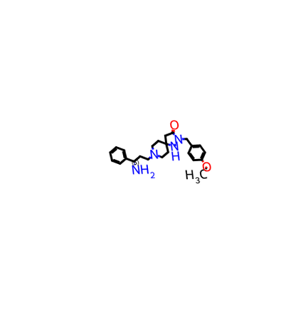 COc1ccc(CN2NC3(CCN(CC[C@H](N)c4ccccc4)CC3)CC2=O)cc1